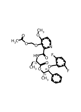 CC[C@H](NC(=O)c1nccc(OC)c1OCOC(C)=O)C(=O)O[C@@H](C)[C@H](Oc1cc(F)ccc1F)c1ccccc1